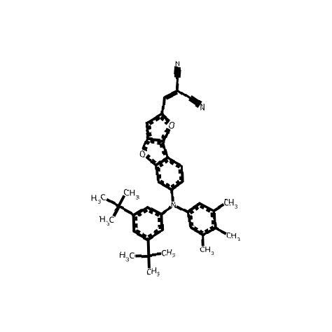 Cc1cc(N(c2cc(C(C)(C)C)cc(C(C)(C)C)c2)c2ccc3c(c2)oc2cc(C=C(C#N)C#N)oc23)cc(C)c1C